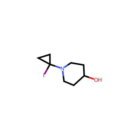 OC1CCN(C2(I)CC2)CC1